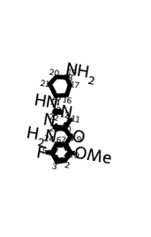 COc1ccc(F)cc1C(=O)c1cnc(N[C@H]2CC[C@H](N)CC2)nc1N